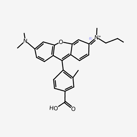 CCC/[N+](C)=c1\ccc2c(-c3ccc(C(=O)O)cc3C)c3ccc(N(C)C)cc3oc-2c1